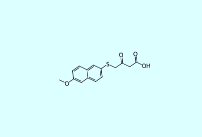 COc1ccc2cc(SCC(=O)CC(=O)O)ccc2c1